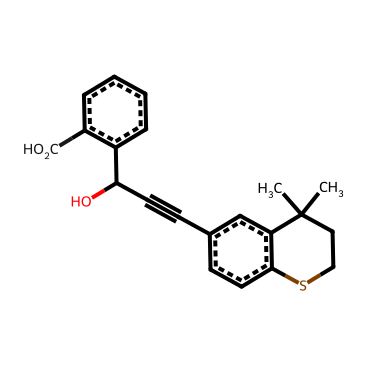 CC1(C)CCSc2ccc(C#CC(O)c3ccccc3C(=O)O)cc21